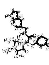 CC(C)N(C)C(C)C(=O)N[C@@H](Cc1cccc(F)c1)C(=O)NCc1cnc2[nH]ccc2c1